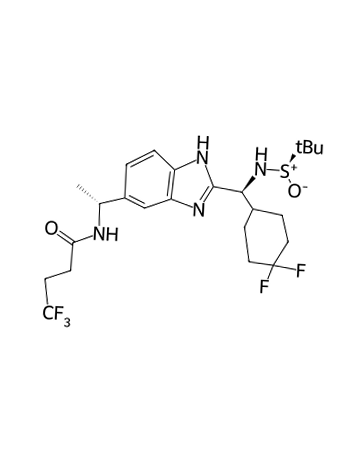 C[C@@H](NC(=O)CCC(F)(F)F)c1ccc2[nH]c([C@@H](N[S@+]([O-])C(C)(C)C)C3CCC(F)(F)CC3)nc2c1